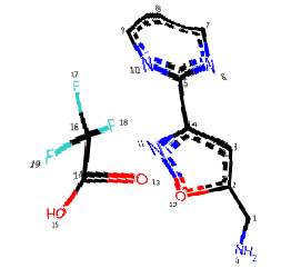 NCc1cc(-c2ncccn2)no1.O=C(O)C(F)(F)F